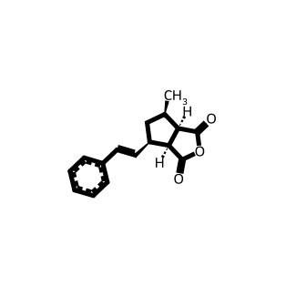 C[C@@H]1C[C@H](/C=C/c2ccccc2)[C@@H]2C(=O)OC(=O)[C@@H]21